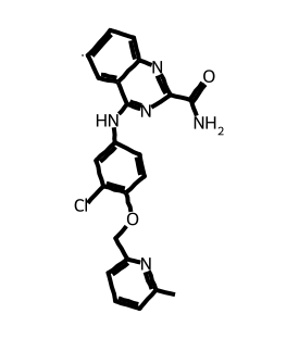 Cc1cccc(COc2ccc(Nc3nc(C(N)=O)nc4cc[c]cc34)cc2Cl)n1